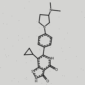 CN(C)C1CCN(c2ccc(-c3[nH]c(=O)c4c(=O)[nH]sc4c3C3CC3)cc2)C1